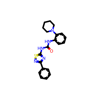 O=C(Nc1nc(-c2ccccc2)ns1)Nc1ccccc1N1CCCCC1